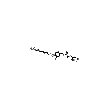 CCCCCCCCCOc1ccc(CO[PH](=O)CCC(N)CO)cc1F